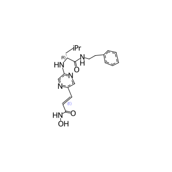 CC(C)C[C@@H](Nc1cnc(/C=C/C(=O)NO)cn1)C(=O)NCCc1ccccc1